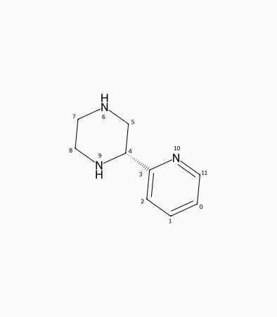 c1ccc([C@H]2CNCCN2)nc1